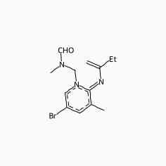 C=C(CC)/N=c1/c(C)cc(Br)cn1CN(C)C=O